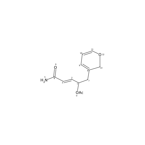 CC(=O)OC(C=CC(N)=O)CC1=CC=COC1